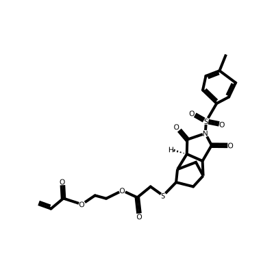 C=CC(=O)OCCOC(=O)CSC1CC2CC1[C@H]1C(=O)N(S(=O)(=O)c3ccc(C)cc3)C(=O)C21